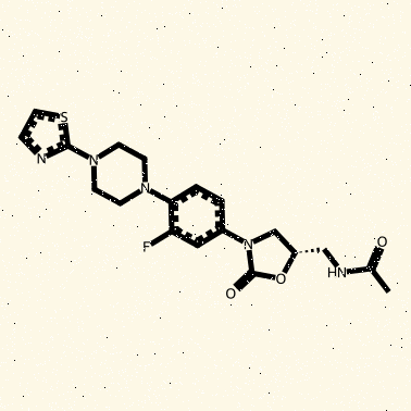 CC(=O)NC[C@H]1CN(c2ccc(N3CCN(c4nccs4)CC3)c(F)c2)C(=O)O1